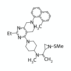 C=C(C1CN1SC)N(C)C1CCN(c2nc(CC)nc3c2CCN(c2cccc4cccc(C)c24)C3)CC1